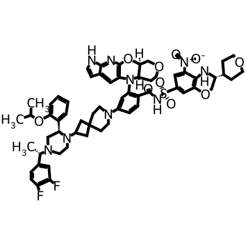 CC(C)Oc1ccccc1[C@@H]1CN([C@@H](C)c2ccc(F)c(F)c2)CCN1C1CC2(CCN(c3ccc(C(=O)NS(=O)(=O)c4cc5c(c([N+](=O)[O-])c4)N[C@H](C4CCOCC4)CO5)c(N4c5cc6cc[nH]c6nc5O[C@H]5COCC[C@@H]54)c3)CC2)C1